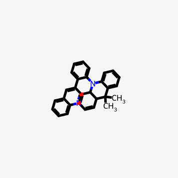 CC1(C)c2ccccc2N(c2ccccc2-c2cnc3ccccc3c2)C2C=CC=CC21